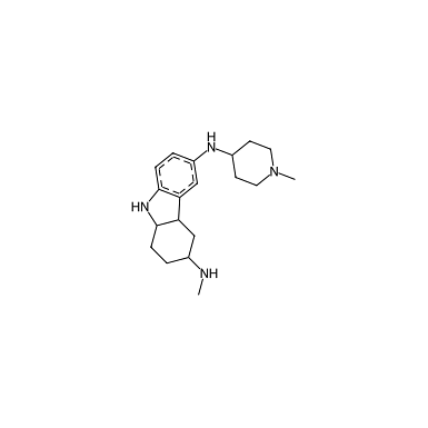 CNC1CCC2Nc3ccc(NC4CCN(C)CC4)cc3C2C1